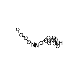 O=C1CCC(N2C(=O)c3cccc(OCc4ccc(CN5CCN(CCOCCOCCOCCC6CCCC6)CC5)cc4)c3C2=O)C(=O)N1